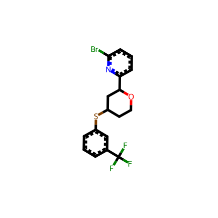 FC(F)(F)c1cccc(SC2CCOC(c3cccc(Br)n3)C2)c1